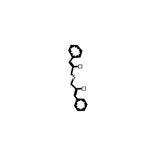 ClC(=Cc1ccccc1)CSCC(Cl)=Cc1ccccc1